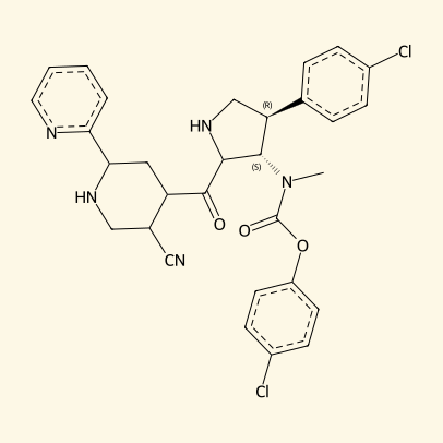 CN(C(=O)Oc1ccc(Cl)cc1)[C@@H]1C(C(=O)C2CC(c3ccccn3)NCC2C#N)NC[C@H]1c1ccc(Cl)cc1